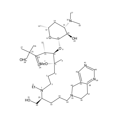 CCN(CCC[C@@](C)(OC)[C@H](O[C@@H]1O[C@H](C)C[C@H](N(C)C)[C@H]1O)[C@@H](C)C(=O)C(C)(C)C=O)[C@H](CO)CCCN1CCc2ncncc2C1